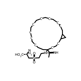 CC(=N)C1(NCCS(=O)(=O)C[C@H](N)C(=O)O)CCCCCCCCCCCCCCCCC2CC2CCC1